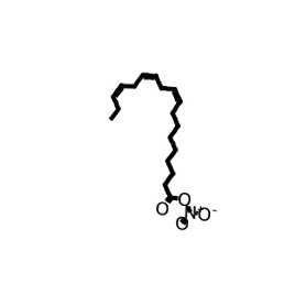 CC/C=C\C/C=C\C/C=C\CCCCCCCC(=O)O[N+](=O)[O-]